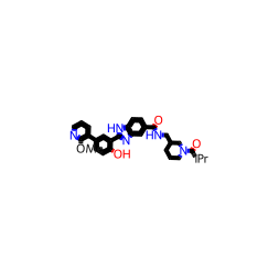 COc1ncccc1-c1ccc(O)c(-c2nc3cc(C(=O)NCC4CCCN(C(=O)C(C)C)C4)ccc3[nH]2)c1